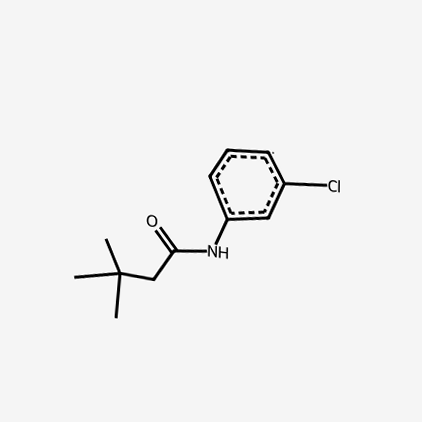 CC(C)(C)CC(=O)Nc1cc[c]c(Cl)c1